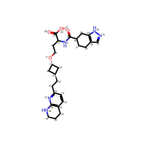 O=C(NC(CCO[C@H]1C[C@H](CCc2ccc3c(n2)NCCC3)C1)C(=O)O)C1CCc2cn[nH]c2C1